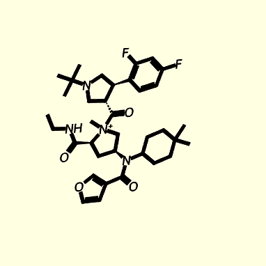 CCNC(=O)[C@@H]1C[C@H](N(C(=O)c2ccoc2)C2CCC(C)(C)CC2)C[N+]1(C)C(=O)[C@@H]1CN(C(C)(C)C)C[C@H]1c1ccc(F)cc1F